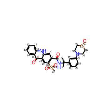 CC(C)(NC(=O)c1cc2[nH]c3ccccc3c(=O)c2cc1S(C)(=O)=O)c1cccc(N2CC[S+]([O-])CC2)c1